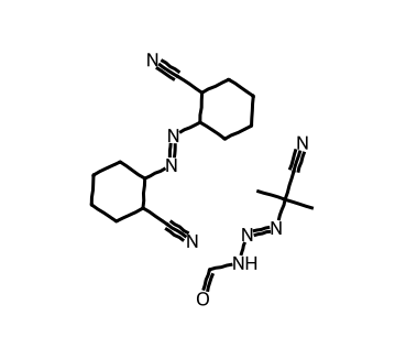 CC(C)(C#N)N=NNC=O.N#CC1CCCCC1N=NC1CCCCC1C#N